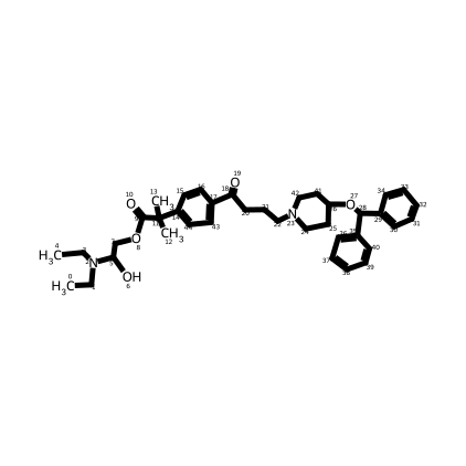 CCN(CC)C(O)COC(=O)C(C)(C)c1ccc(C(=O)CCCN2CCC(OC(c3ccccc3)c3ccccc3)CC2)cc1